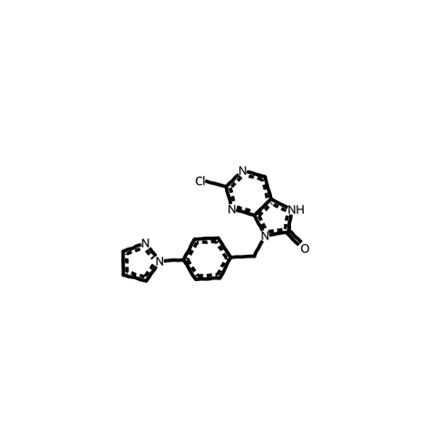 O=c1[nH]c2cnc(Cl)nc2n1Cc1ccc(-n2cccn2)cc1